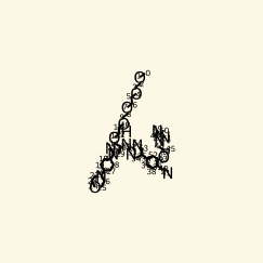 COCCOCCOCCOCCOc1nn(C2CCC(N3CCOCC3)CC2)cc1Nc1ncc(-c2ccc(C#N)c(O[C@@H](C)Cn3cncn3)c2)cn1